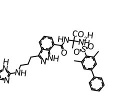 Cc1cc(-c2ccccc2)cc(C)c1S(=O)(=O)NC(C)(NC(=O)c1cccc2c(CCCNc3ncc[nH]3)n[nH]c12)C(=O)O